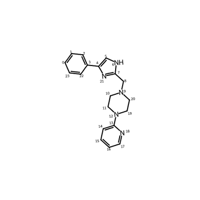 c1ccc(-c2c[nH]c(CN3CCN(c4ccccn4)CC3)n2)cc1